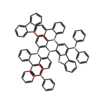 c1ccc(-c2ccccc2N2c3cc(N(c4ccccc4)c4ccccc4)ccc3B3c4c2cc(-n2c5ccccc5c5ccccc52)cc4N(c2ccccc2-c2ccccc2)c2cc(N(c4ccccc4)c4ccccc4)c4c(oc5ccccc54)c23)cc1